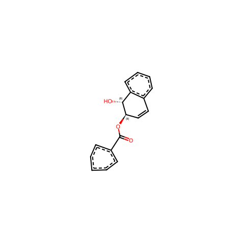 O=C(O[C@@H]1C=Cc2ccccc2[C@H]1O)c1ccccc1